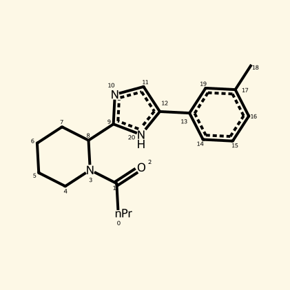 CCCC(=O)N1CCCCC1c1ncc(-c2cccc(C)c2)[nH]1